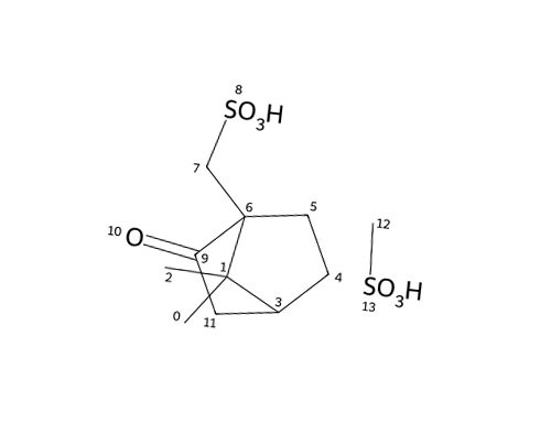 CC1(C)C2CCC1(CS(=O)(=O)O)C(=O)C2.CS(=O)(=O)O